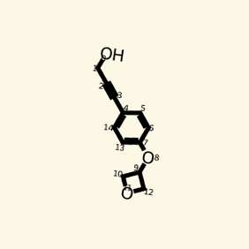 OCC#Cc1ccc(OC2COC2)cc1